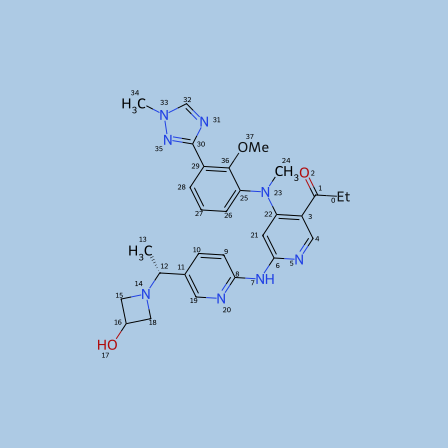 CCC(=O)c1cnc(Nc2ccc([C@@H](C)N3CC(O)C3)cn2)cc1N(C)c1cccc(-c2ncn(C)n2)c1OC